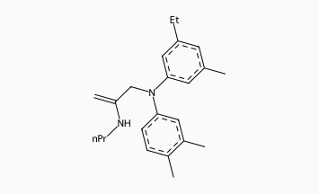 C=C(CN(c1cc(C)cc(CC)c1)c1ccc(C)c(C)c1)NCCC